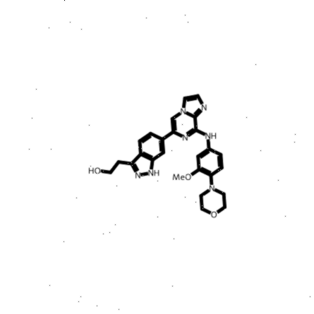 COc1cc(Nc2nc(-c3ccc4c(CCO)n[nH]c4c3)cn3ccnc23)ccc1N1CCOCC1